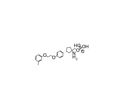 Cc1cccc(OCCOc2ccc([C@@H]3CC[C@](N)(COP(=O)(O)O)C3)cc2)c1